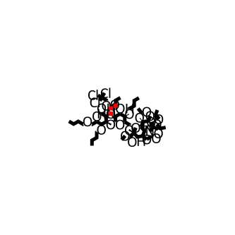 CCCCOCC1OC(O)[C@@H](OCCCC)[C@@H](OC2OC(CO[C@]3(C(=O)OC)C[C@H]4OC(=O)N(C(C)=O)[C@H]4C([C@H](OC(C)=O)[C@@H](COC(C)=O)OC(C)=O)O3)[C@@H](OCCCC)C(O)[C@@H]2NC(=O)OCC(Cl)(Cl)Cl)[C@H]1OCCCC